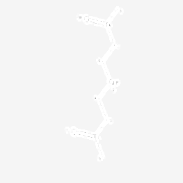 CC(=O)C[CH2][Sn][CH2]CC(C)=O